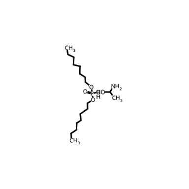 CC(N)O.CCCCCCCCOP(=O)(O)OCCCCCCCC